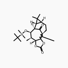 CC1=C[C@]23CC[C@@H]4[C@H]([C@@H](C2=O)[C@H](O[Si](C)(C)C(C)(C)C)[C@H](C)[C@H]2OC(=O)O[C@]23C1)C4(C)C